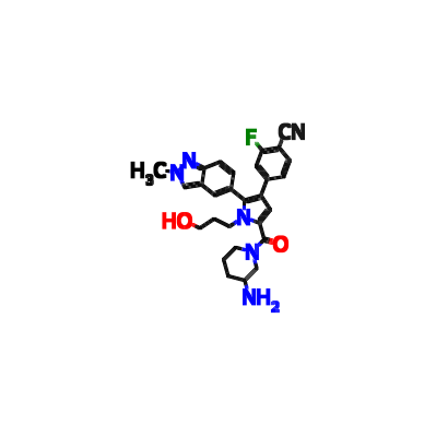 Cn1cc2cc(-c3c(-c4ccc(C#N)c(F)c4)cc(C(=O)N4CCCC(N)C4)n3CCCO)ccc2n1